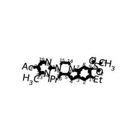 CCc1cc2cc3n(c2cc1S(C)(=O)=O)CCN(c1ncc(C(C)=O)c(C)n1)C3C(C)C